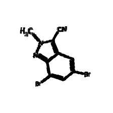 Cn1nc2c(Br)cc(Br)cc2c1C#N